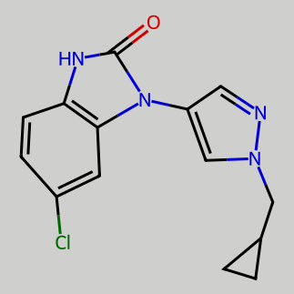 O=c1[nH]c2ccc(Cl)cc2n1-c1cnn(CC2CC2)c1